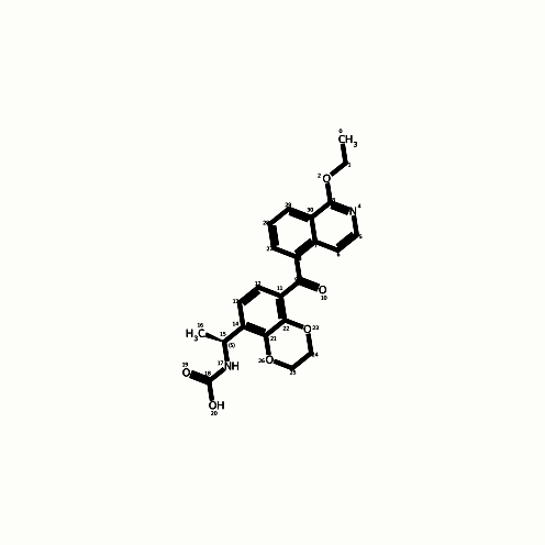 CCOc1nccc2c(C(=O)c3ccc([C@H](C)NC(=O)O)c4c3OCCO4)cccc12